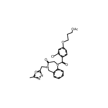 CC(=O)OCCCOc1ccc(C(=O)N2CC(=O)N(Cc3nnc(C)o3)Cc3ccccc32)c(Cl)c1